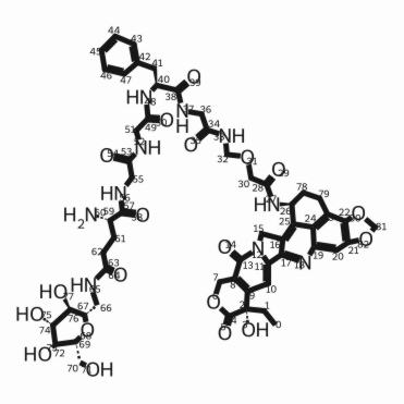 CC[C@@]1(O)C(=O)OCc2c1cc1n(c2=O)Cc2c-1nc1cc3c(c4c1c2[C@@H](NC(=O)COCNC(=O)CNC(=O)[C@H](Cc1ccccc1)NC(=O)CNC(=O)CNC(=O)[C@@H](N)CCC(=O)NC[C@@H]1O[C@H](CO)[C@@H](O)[C@H](O)[C@H]1O)CC4)OCO3